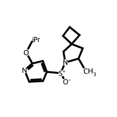 CC(C)Oc1cc([S+]([O-])N2CC3(CCC3)CC2C)ccn1